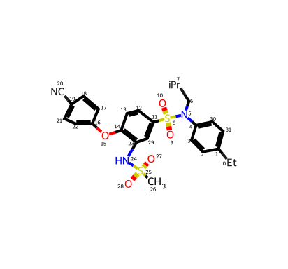 CCc1ccc(N(CC(C)C)S(=O)(=O)c2ccc(Oc3ccc(C#N)cc3)c(NS(C)(=O)=O)c2)cc1